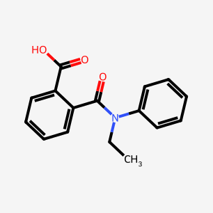 CCN(C(=O)c1ccccc1C(=O)O)c1ccccc1